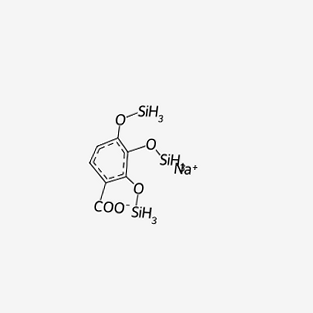 O=C([O-])c1ccc(O[SiH3])c(O[SiH3])c1O[SiH3].[Na+]